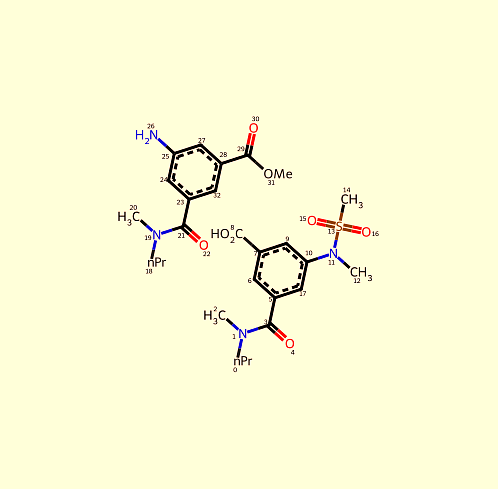 CCCN(C)C(=O)c1cc(C(=O)O)cc(N(C)S(C)(=O)=O)c1.CCCN(C)C(=O)c1cc(N)cc(C(=O)OC)c1